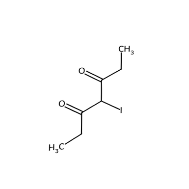 CCC(=O)C(I)C(=O)CC